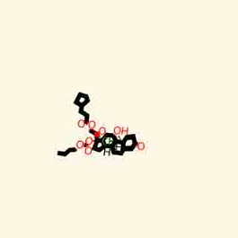 CCCCOC(=O)O[C@]1(C(=O)COC(=O)CCC2CCCC2)CC[C@H]2[C@@H]3CCC4=CC(=O)C=C[C@]4(C)[C@@]3(Cl)C(O)C[C@@]21C